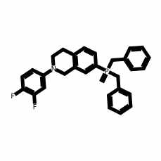 C=P(Cc1ccccc1)(Cc1ccccc1)c1ccc2c(c1)CN(c1ccc(F)c(F)c1)CC2